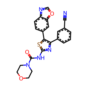 N#Cc1cccc(-c2nc(NC(=O)N3CCOCC3)sc2-c2ccc3ncoc3c2)c1